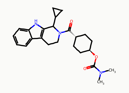 CN(C)C(=O)O[C@H]1CC[C@H](C(=O)N2CCc3c([nH]c4ccccc34)C2C2CC2)CC1